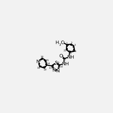 Cc1cccc(NC(=O)Nc2nnc(-c3ccncc3)s2)c1